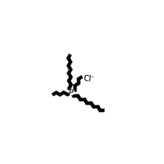 CCCCCCCCCC[P+](CCCCC)(CCCCC)CCCCCCCCCC.[Cl-]